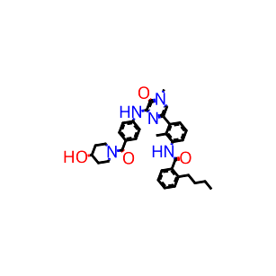 CCCCc1ccccc1C(=O)Nc1cccc(-c2cn(C)c(=O)c(Nc3ccc(C(=O)N4CCC(O)CC4)cc3)n2)c1C